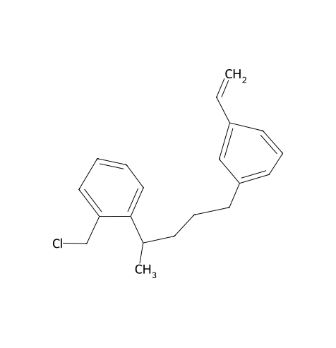 C=Cc1cccc(CCCC(C)c2ccccc2CCl)c1